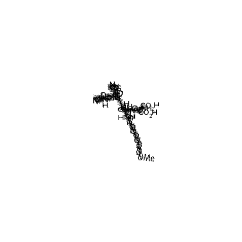 COCCOCCOCCOCCOCCOCCOCCOCCC(=O)NCCCC[C@H](NC(=O)CNC(=O)CC(C)(CC(=O)O)SC[C@H](N)C(=O)O)C(=O)NCCCCCCN1N=C(c2ccc(NC(=O)N3Cc4ccncc4C3)cc2)CC(c2cccc3ncccc23)C1=O